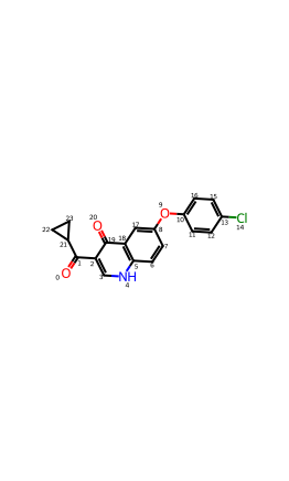 O=C(c1c[nH]c2ccc(Oc3ccc(Cl)cc3)cc2c1=O)C1CC1